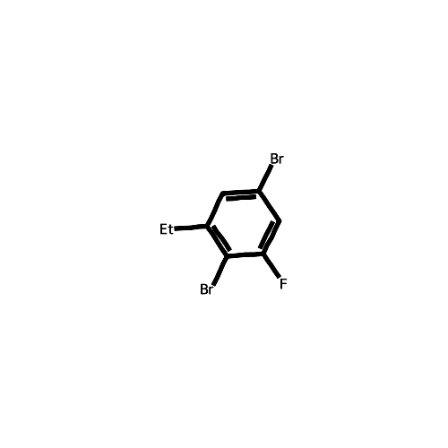 CCc1cc(Br)cc(F)c1Br